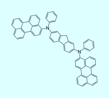 c1ccc(N(c2ccc3c(c2)Cc2cc(N(c4ccccc4)c4ccc5c6cccc7cccc(c8cccc4c85)c76)ccc2-3)c2ccc3c4cccc5cccc(c6cccc2c63)c54)cc1